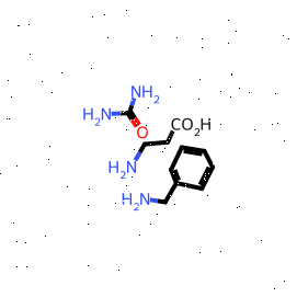 NC(N)=O.NCCC(=O)O.NCc1ccccc1